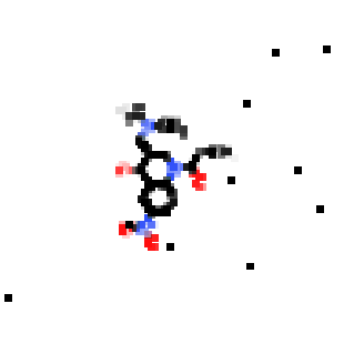 CCC(=O)N1CC(=CN(C)C)C(=O)c2cc([N+](=O)[O-])ccc21